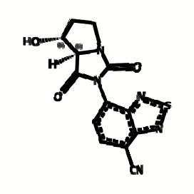 N#Cc1ccc(N2C(=O)[C@H]3[C@H](O)CCN3C2=O)c2nsnc12